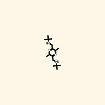 Cc1nc(CNC(C)(C)C)c(C)nc1CNC(C)(C)C